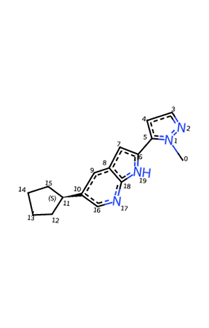 Cn1nccc1-c1cc2cc([C@H]3C[CH]CC3)cnc2[nH]1